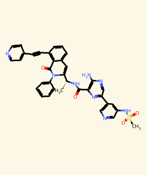 C[C@@H](NC(=O)c1nc(-c2cncc(NS(C)(=O)=O)c2)cnc1N)c1cc2cccc(C#Cc3ccncc3)c2c(=O)n1-c1ccccc1